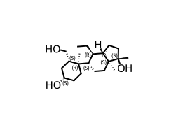 CC[C@@H]1[C@@H]([C@@]2(C)CC[C@H](O)C[C@@H]2CO)CC[C@@]2(C)[C@H]1CC[C@]2(C)O